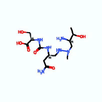 CC(O)[C@H](N)CN(C)NC[C@H](CC(N)=O)NC(=O)N[C@@H](CO)C(=O)O